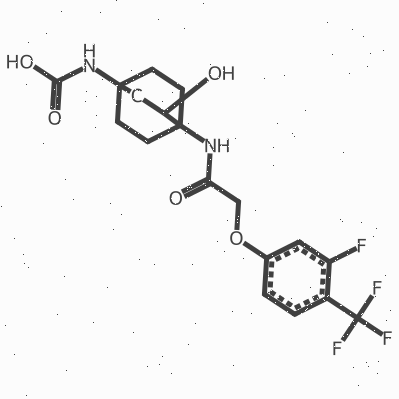 O=C(O)NC12CCC(NC(=O)COc3ccc(C(F)(F)F)c(F)c3)(CC1)C(O)C2